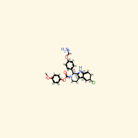 COc1ccc(OC(=O)N2CCc3c([nH]c4c3=CC(Cl)CC=4)C2c2ccc(OCN)cc2)cc1